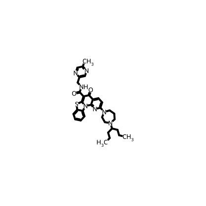 CCCC(CCC)N1CCCN(c2ccc3c(=O)c(C(=O)NCc4cnc(C)cn4)c4sc5ccccc5n4c3n2)CC1